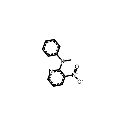 CN(c1ccccc1)c1ncccc1[N+](=O)[O-]